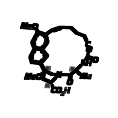 COc1cc2ccc3cc2cc1C=CCCCCOC(=O)N[C@@H](C(C)(C)C)C(=O)N1C[C@@]3(OC)C[C@H]1C(=O)O